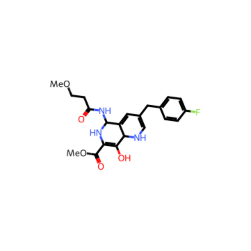 COCCC(=O)NC1NC(C(=O)OC)=C(O)C2NC=C(Cc3ccc(F)cc3)C=C12